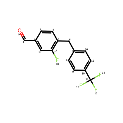 O=Cc1ccc(Cc2ccc(C(F)(F)F)cc2)c(F)c1